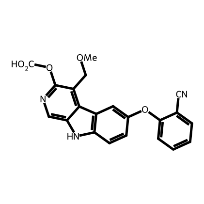 COCc1c(OC(=O)O)ncc2[nH]c3ccc(Oc4ccccc4C#N)cc3c12